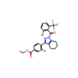 CCOC(=O)c1ccc(-c2nn(C(=O)c3c(Br)cccc3C(F)(F)F)c3c2CCCC3)c(F)c1